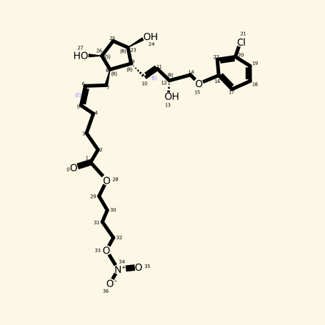 O=C(CCC/C=C\C[C@@H]1[C@@H](/C=C/[C@@H](O)COc2cccc(Cl)c2)[C@H](O)C[C@@H]1O)OCCCCO[N+](=O)[O-]